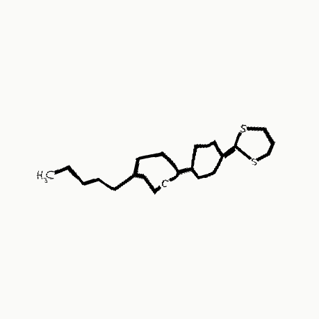 CCCCCC1CCC(C2CCC(=C3SCCCS3)CC2)CC1